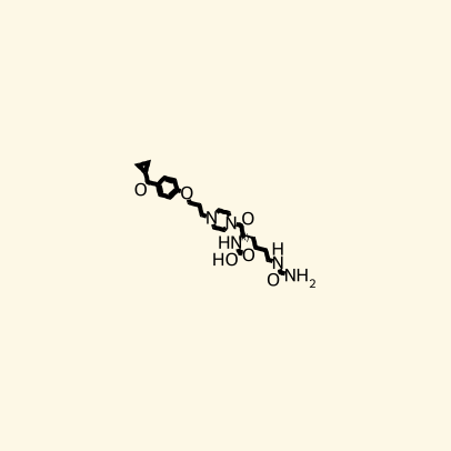 NC(=O)NCCCC[C@@H](NC(=O)O)C(=O)N1CCN(CCCOc2ccc(C(=O)C3CC3)cc2)CC1